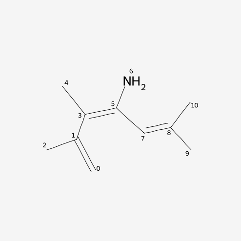 C=C(C)/C(C)=C(/N)C=C(C)C